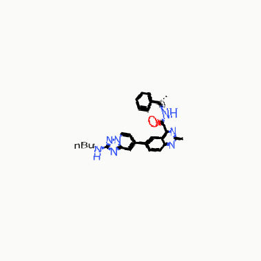 CCCCNc1nc2cc(-c3ccc4nc(C)nc(C(=O)N[C@@H](C)c5ccccc5)c4c3)ccn2n1